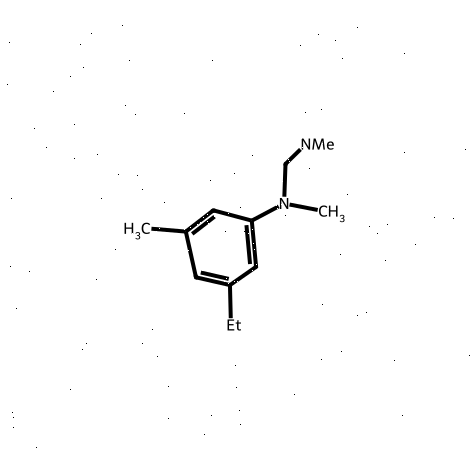 CCc1cc(C)cc(N(C)CNC)c1